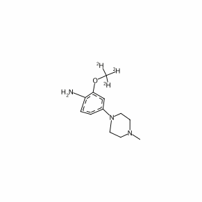 [2H]C([2H])([2H])Oc1cc(N2CCN(C)CC2)ccc1N